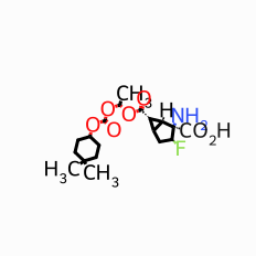 CC(OC(=O)OC1CCC(C)(C)CC1)OC(=O)[C@H]1C2C[C@H](F)[C@@](N)(C(=O)O)[C@@H]21